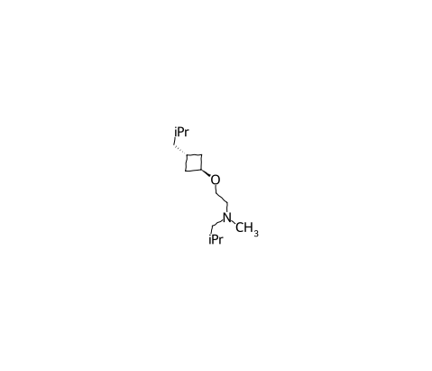 CC(C)CN(C)CCO[C@H]1C[C@H](CC(C)C)C1